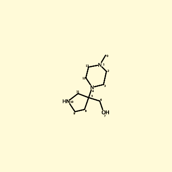 CN1CCN(C2(CO)CCNC2)CC1